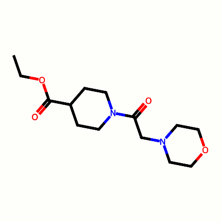 CCOC(=O)C1CCN(C(=O)CN2CCOCC2)CC1